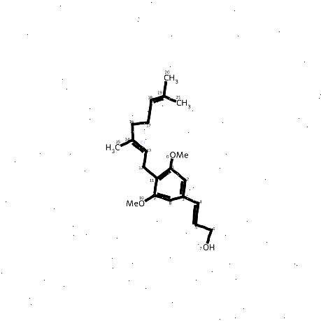 COc1cc(C=CCO)cc(OC)c1C/C=C(\C)CCC=C(C)C